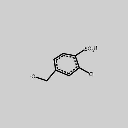 [O]Cc1ccc(S(=O)(=O)O)c(Cl)c1